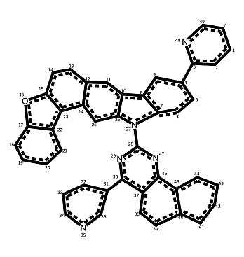 c1ccc(-c2ccc3c(c2)c2cc4ccc5oc6ccccc6c5c4cc2n3-c2nc(-c3cccnc3)c3ccc4ccccc4c3n2)nc1